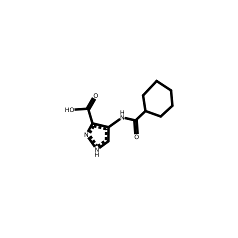 O=C(O)c1n[nH]cc1NC(=O)C1CCCCC1